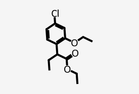 CCOC(=O)C(CC)c1ccc(Cl)cc1OCC